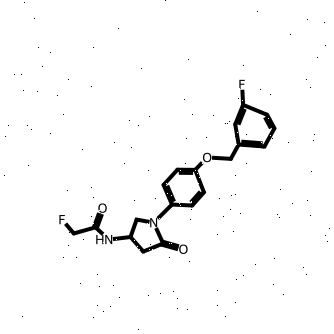 O=C(CF)NC1CC(=O)N(c2ccc(OCc3cccc(F)c3)cc2)C1